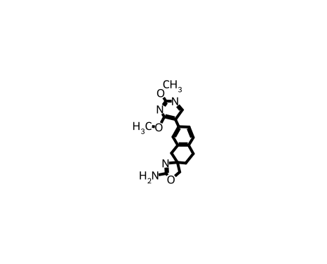 COc1ncc(-c2ccc3c(c2)CC2(CC3)COC(N)=N2)c(OC)n1